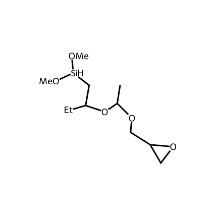 CCC(C[SiH](OC)OC)OC(C)OCC1CO1